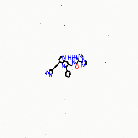 C[C@@H](NC(=O)C1c2nccn2C=NC1N)c1cc2nccc(C#Cc3cnn(C)c3)c2nc1-c1ccccc1